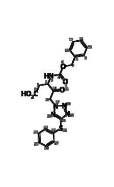 O=C(O)CC(NC(=O)OCc1ccccc1)C(=O)Cn1nnc(Sc2ccccc2)n1